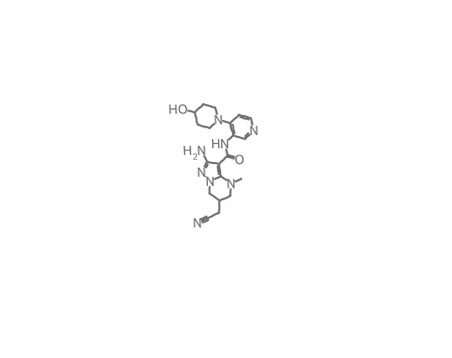 CN1CC(CC#N)Cn2nc(N)c(C(=O)Nc3cnccc3N3CCC(O)CC3)c21